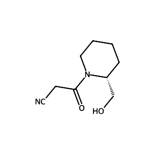 N#CCC(=O)N1CCCC[C@@H]1CO